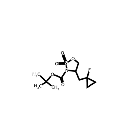 CC(C)(C)OC(=O)N1C(CC2(F)CC2)COS1(=O)=O